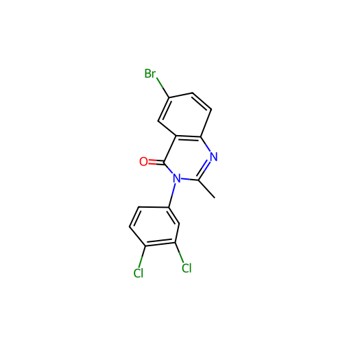 Cc1nc2ccc(Br)cc2c(=O)n1-c1ccc(Cl)c(Cl)c1